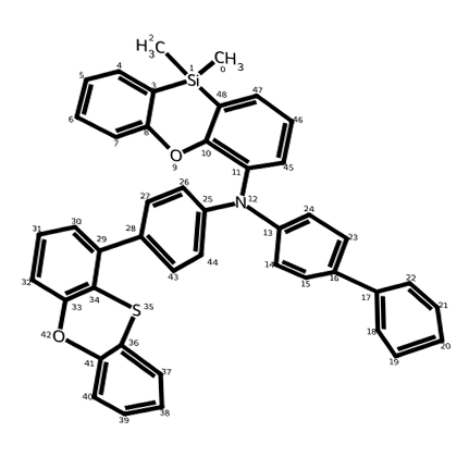 C[Si]1(C)c2ccccc2Oc2c(N(c3ccc(-c4ccccc4)cc3)c3ccc(-c4cccc5c4Sc4ccccc4O5)cc3)cccc21